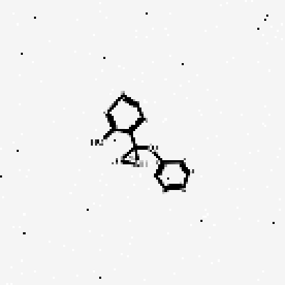 Oc1ccccc1C1(Oc2ccccc2)NO1